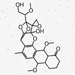 COC1c2cc(C)c3c(c2C(OC)C2C(=O)CCCC12)OC1(O)C2OC(C(CO)OC)(OC32)C12CO2